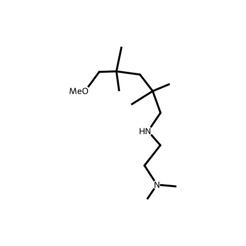 COCC(C)(C)CC(C)(C)CNCCN(C)C